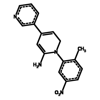 Cc1ccc([N+](=O)[O-])cc1N1CC=C(c2cccnc2)C=C1N